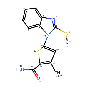 CSc1nc2ccccc2n1-c1cc(C)c(C(N)=O)s1